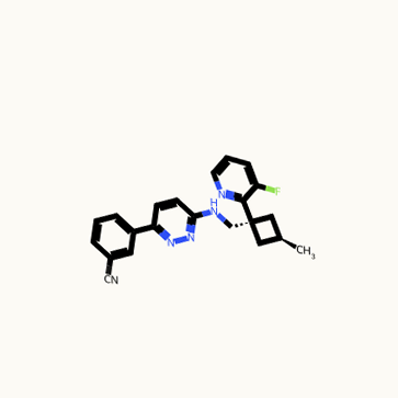 C[C@H]1C[C@@](CNc2ccc(-c3cccc(C#N)c3)nn2)(c2ncccc2F)C1